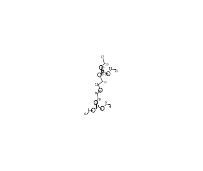 CCOP(OCC)OCCOCCOP(OCC)OCC